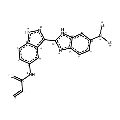 C=CC(=O)Nc1ccc2[nH]nc(-c3nc4ccc(N(CC)CC)cc4[nH]3)c2c1